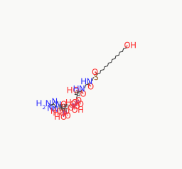 CC(C)(COP(=O)(O)OP(=O)(O)OC[C@H]1O[C@@H](n2cnc3c(N)ncnc32)[C@H](O)[C@@H]1OP(=O)(O)O)[C@@H](O)C(=O)NCCC(=O)NCCSC(=O)CCCCCCCCCCCCCCCO